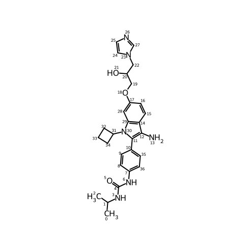 CC(C)NC(=O)Nc1ccc(-c2c(N)c3ccc(OCC(O)Cn4ccnc4)cc3n2C2CCC2)cc1